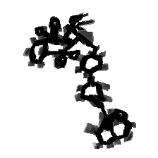 O=S1(=O)C2=C([NH+]([O-])N2Cc2ccc(N3CCN(c4cccc5ccoc45)CC3)cc2)S(=O)(=O)c2ccccc21